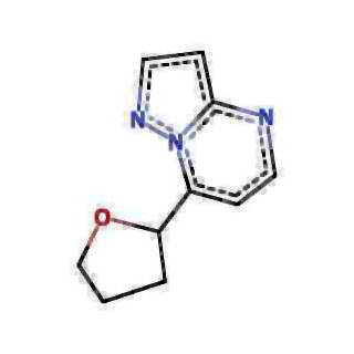 c1cc(C2CCCO2)n2nccc2n1